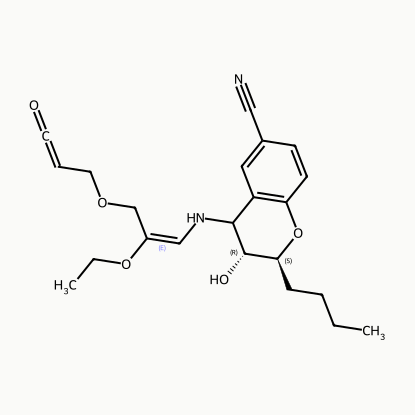 CCCC[C@@H]1Oc2ccc(C#N)cc2C(N/C=C(\COCC=C=O)OCC)[C@H]1O